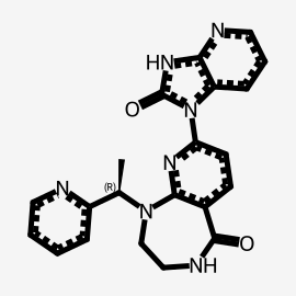 C[C@H](c1ccccn1)N1CCNC(=O)c2ccc(-n3c(=O)[nH]c4ncccc43)nc21